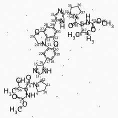 COC(=O)N[C@H](C(=O)N1CCC[C@H]1C1=NCC(c2ccc3c(c2)N2CCOc4cc(-c5cnc([C@@H]6CCCN6C(=O)[C@@H](NC(=O)OC)C(C)C)[nH]5)cc(c42)O3)N1)C(C)C